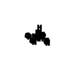 c1cc(-c2ccc3[nH]nc(-c4nc5c(N6CCCCC6)ccnc5[nH]4)c3n2)ccn1